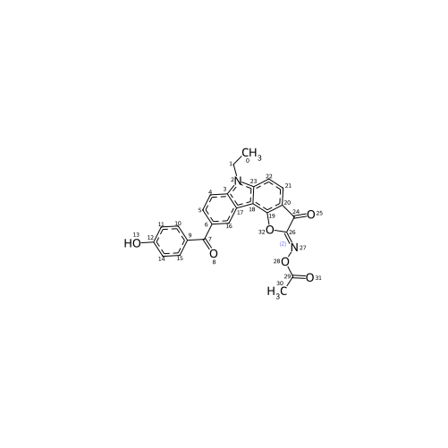 CCn1c2ccc(C(=O)c3ccc(O)cc3)cc2c2c3c(ccc21)C(=O)/C(=N/OC(C)=O)O3